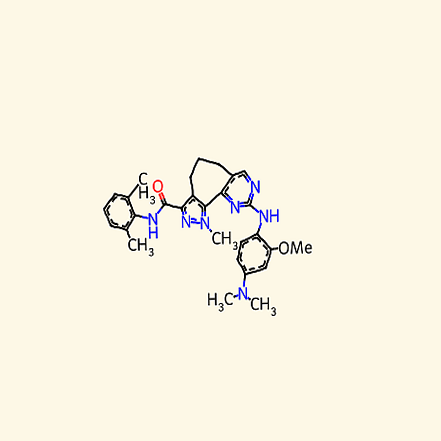 COc1cc(N(C)C)ccc1Nc1ncc2c(n1)-c1c(c(C(=O)Nc3c(C)cccc3C)nn1C)CCC2